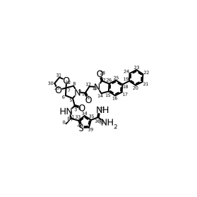 C[C@@H](NC(=O)C1CC2(CN1C(=O)CN1Cc3ccc(-c4ccccc4)cc3C1=O)OCCO2)c1cc(C(=N)N)cs1